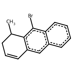 CC1CC=Cc2cc3ccccc3c(Br)c21